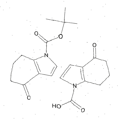 CC(C)(C)OC(=O)n1ccc2c1CCCC2=O.O=C1CCCc2c1ccn2C(=O)O